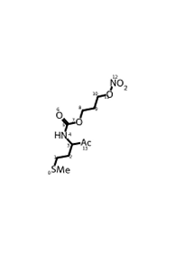 CSCCC(NC(=O)OCCCO[N+](=O)[O-])C(C)=O